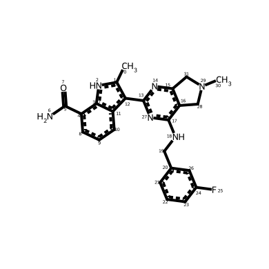 Cc1[nH]c2c(C(N)=O)cccc2c1-c1nc2c(c(NCc3cccc(F)c3)n1)CN(C)C2